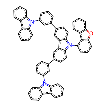 c1cc(-c2ccc3c(c2)c2cc(-c4cccc(-n5c6ccccc6c6ccccc65)c4)ccc2n3-c2cccc3oc4ccccc4c23)cc(-n2c3ccccc3c3ccccc32)c1